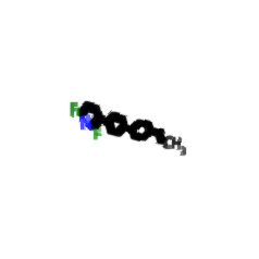 CCCC1CCC(c2ccc(-c3ccc(F)nc3F)cc2)CC1